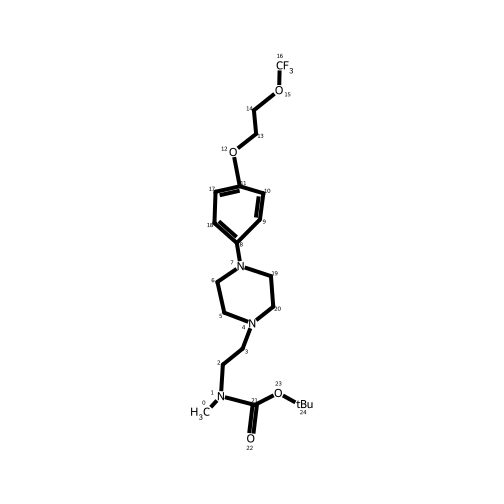 CN(CCN1CCN(c2ccc(OCCOC(F)(F)F)cc2)CC1)C(=O)OC(C)(C)C